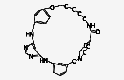 O=C1NCCCCCOc2ccc(cc2)Nc2cc(ncn2)Nc2cccc(c2)CN2CCC1CC2